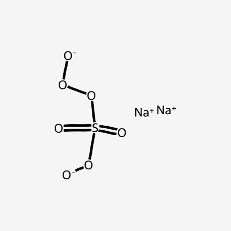 O=S(=O)(O[O-])OO[O-].[Na+].[Na+]